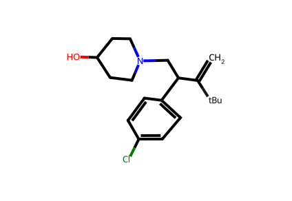 C=C(C(CN1CCC(O)CC1)c1ccc(Cl)cc1)C(C)(C)C